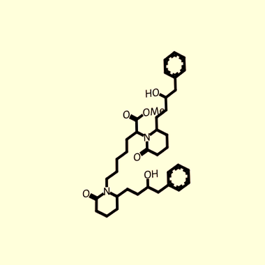 COC(=O)C(CCCCCN1C(=O)CCCC1CCC(O)Cc1ccccc1)N1C(=O)CCCC1CCC(O)Cc1ccccc1